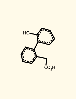 O=C(O)Cc1ccccc1-c1ccccc1O